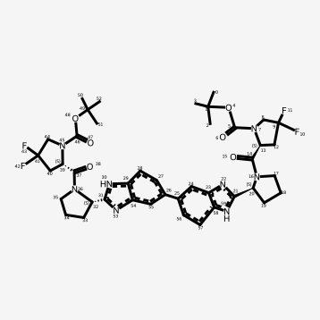 CC(C)(C)OC(=O)N1CC(F)(F)C[C@H]1C(=O)N1CCC[C@H]1c1nc2cc(-c3ccc4[nH]c([C@@H]5CCCN5C(=O)[C@@H]5CC(F)(F)CN5C(=O)OC(C)(C)C)nc4c3)ccc2[nH]1